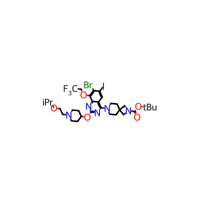 CC(C)OCCN1CCC(Oc2nc(N3CCC4(CC3)CN(C(=O)OC(C)(C)C)C4)c3cc(I)c(Br)c(OCC(F)(F)F)c3n2)CC1